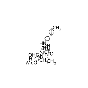 C=CCn1c(=O)c2cnc(Nc3ccc(N4CCN(C)CC4)cc3)nc2n1C(/C=C\C)=N/N(C=O)C(C)(C)COC